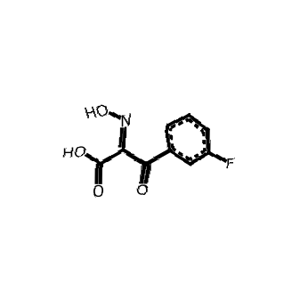 O=C(O)C(=NO)C(=O)c1cccc(F)c1